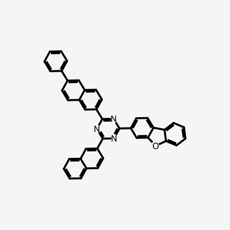 c1ccc(-c2ccc3cc(-c4nc(-c5ccc6ccccc6c5)nc(-c5ccc6c(c5)oc5ccccc56)n4)ccc3c2)cc1